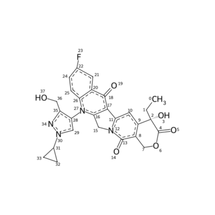 CC[C@@]1(O)C(=O)OCc2c1cc1n(c2=O)Cc2c-1c(=O)c1cc(F)ccc1n2-c1cn(C2CC2)nc1CO